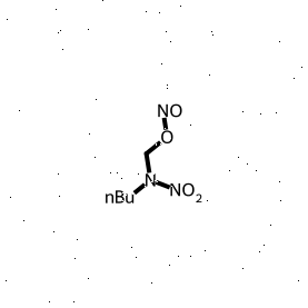 CCCCN(CON=O)[N+](=O)[O-]